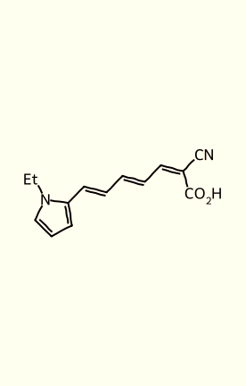 CCn1cccc1C=CC=CC=C(C#N)C(=O)O